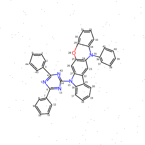 c1ccc(-c2nc(-c3ccccc3)nc(-n3c4ccccc4c4cc5c(cc43)Oc3ccccc3N5c3ccccc3)n2)cc1